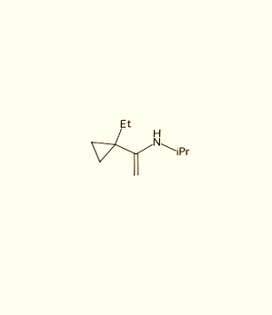 C=C(NC(C)C)C1(CC)CC1